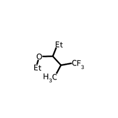 CCOC(CC)C(C)C(F)(F)F